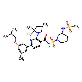 Cc1cc(OCC(C)C)cc(-c2ccc(C(=O)NS(=O)(=O)N3CCCC(NS(C)(=O)=O)C3)c(N3CC(C)CC3(C)C)n2)c1